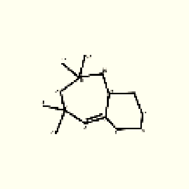 CC1(C)C=C2CCCCC2CC(C)(C)C1